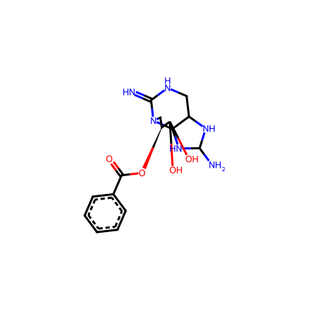 N=C1NCC2NC(N)NC23N1C[C@H](OC(=O)c1ccccc1)C3(O)O